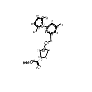 COC(=O)[C@H]1CC[C@H](OCc2cc(C)cc(-n3c(C)ccc3C)n2)C1